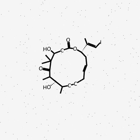 C/C(=C\I)[C@@H]1C/C=C/CCCC(C)[C@H](O)C(C)C(=O)C(C)(C)C(O)CC(=O)O1